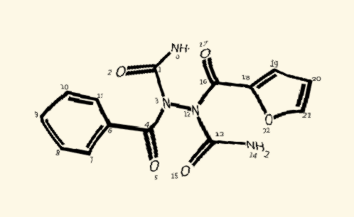 [NH]C(=O)N(C(=O)c1ccccc1)N(C(N)=O)C(=O)c1ccco1